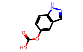 O=C(O)Oc1ccc2[nH]ncc2c1